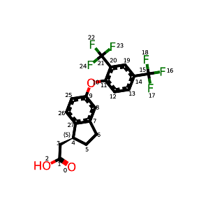 O=C(O)C[C@@H]1CCc2cc(Oc3ccc(C(F)(F)F)cc3C(F)(F)F)ccc21